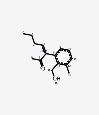 CCC/C=C(\C(C)=O)c1cccc(C)c1CO